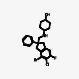 OC1CCC(NCC2(c3ccccc3)Cc3cc(F)c(Cl)c(Br)c3C2)CC1